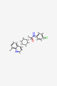 Cc1cccc2c1nccc2[C@H]1CC[C@@H](CC(=O)Nc2ccc(Cl)cc2)CC1